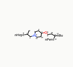 CCCCCCCC(C)CN1CCC(OCCC(CCCC)CCCCC)CC1